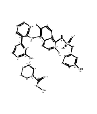 Cc1ccc2c(NS(=O)(=O)Cc3cccc(C#N)c3)c(F)ccc2c1Oc1ncccc1-c1ccnc(N[C@H]2CCCN(C(=O)OC(C)(C)C)C2)n1